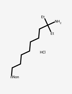 CCCCCCCCCCCCCCCCC(N)(CC)CC.Cl